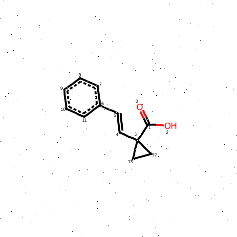 O=C(O)C1(/C=C/c2ccccc2)CC1